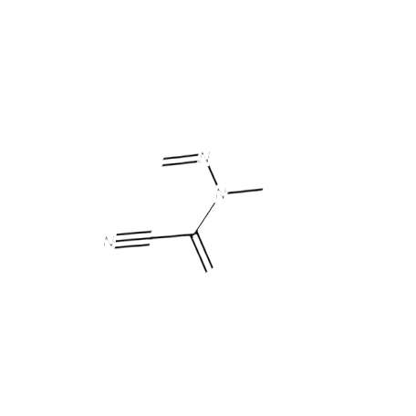 C=NN(C)C(=C)C#N